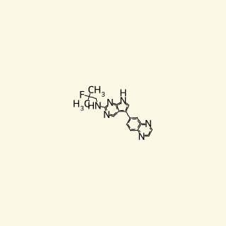 CC(C)(F)CNc1ncc2c(-c3ccc4nccnc4c3)c[nH]c2n1